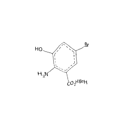 Br.Nc1c(O)cc(Br)cc1C(=O)O